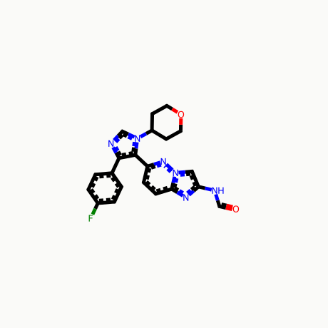 O=CNc1cn2nc(-c3c(-c4ccc(F)cc4)ncn3C3CCOCC3)ccc2n1